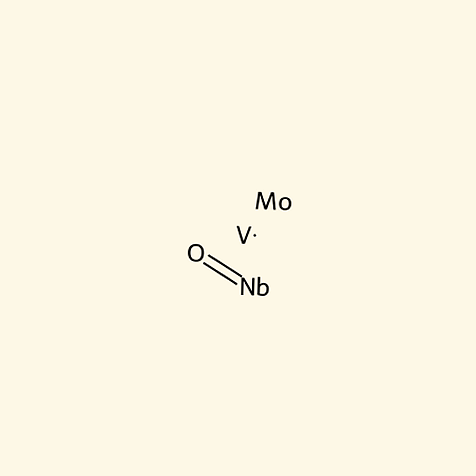 [Mo].[O]=[Nb].[V]